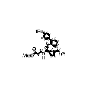 CCC[C@@H](Oc1ccc(-c2ccc(C(C)(C)C)cc2)c(C)c1)c1ccc(C(=O)NCCC(=O)OC)s1